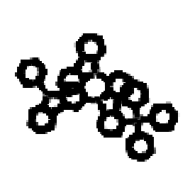 c1ccc(-n2c3ccccc3c3cc(-n4c5cccc([Si](c6ccccc6)(c6ccccc6)c6ccccc6)c5c5cccc(-n6c7ccccc7c7ccccc76)c54)ccc32)cc1